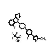 Cn1cc(-c2ccc(N3CCC(C4c5c(F)cccc5-c5cncn54)CC3)cc2F)cn1.O=C(O)C(F)(F)F